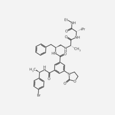 CCNC(=O)[C@@H](NC(=O)[C@H](C)NC[C@H](Cc1ccccc1)NC(=O)c1cc(C(=O)N[C@H](C)c2ccc(Br)cc2)cc(N2CCOC2=O)c1)C(C)C